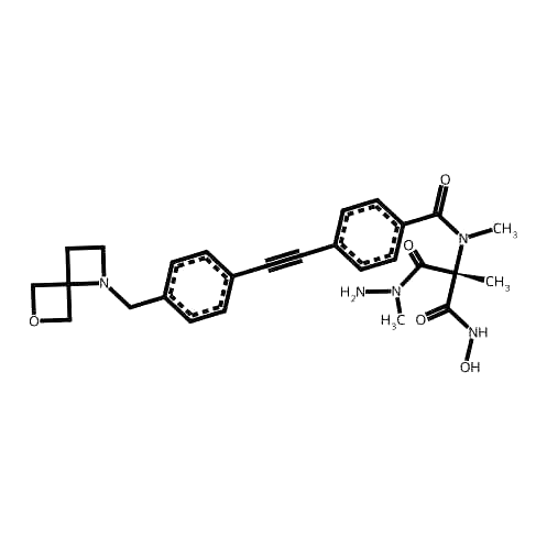 CN(N)C(=O)[C@@](C)(C(=O)NO)N(C)C(=O)c1ccc(C#Cc2ccc(CN3CCC34COC4)cc2)cc1